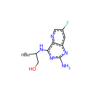 CCCCC(CO)Nc1nc(N)nc2cc(F)cnc12